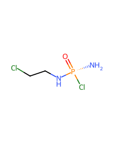 N[P@](=O)(Cl)NCCCl